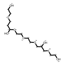 OCCSCCC(O)OCCOCCOCC(O)CSCCO